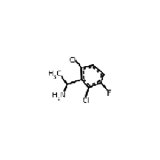 CC(N)c1c(Cl)ccc(F)c1Cl